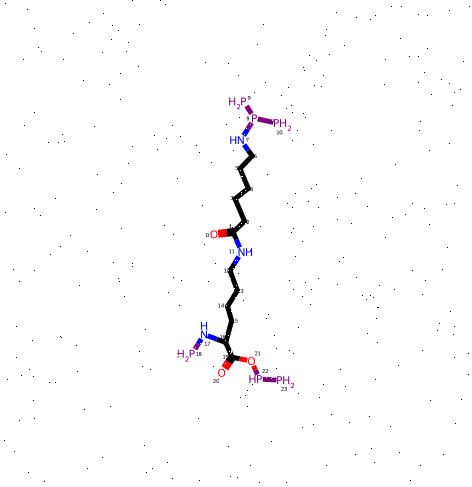 O=C(CCCCCNP(P)P)NCCCCC(NP)C(=O)OPP